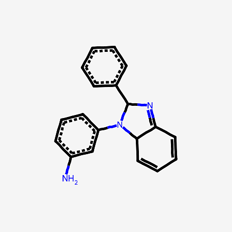 Nc1cccc(N2C3C=CC=CC3=NC2c2ccccc2)c1